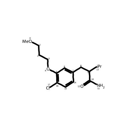 COCCCOc1cc(CC(C(N)=O)C(C)C)ccc1Cl